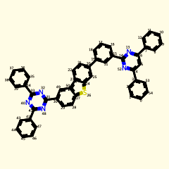 c1ccc(-c2cc(-c3ccccc3)nc(-c3cccc(-c4ccc5c(c4)sc4ccc(-c6nc(-c7ccccc7)nc(-c7ccccc7)n6)cc45)c3)n2)cc1